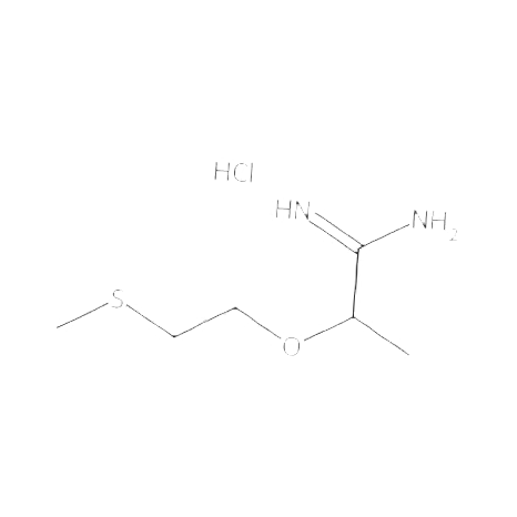 CSCCOC(C)C(=N)N.Cl